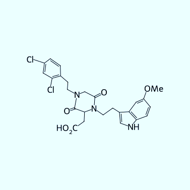 COc1ccc2[nH]cc(CCN3C(=O)CN(CCc4ccc(Cl)cc4Cl)C(=O)C3CC(=O)O)c2c1